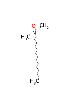 C=CC(=O)N(CC)CCCCCCCCCCCCCC